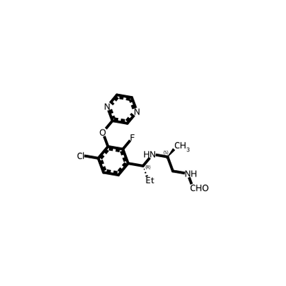 CC[C@@H](N[C@@H](C)CNC=O)c1ccc(Cl)c(Oc2cnccn2)c1F